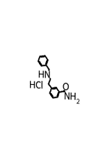 Cl.NC(=O)c1cccc(CCNCc2ccccc2)c1